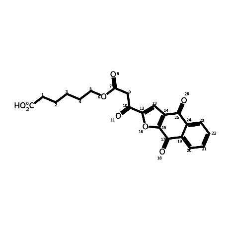 O=C(O)CCCCCOC(=O)CC(=O)c1cc2c(o1)C(=O)c1ccccc1C2=O